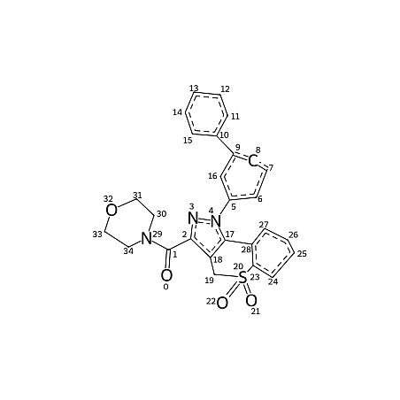 O=C(c1nn(-c2cccc(-c3ccccc3)c2)c2c1CS(=O)(=O)c1ccccc1-2)N1CCOCC1